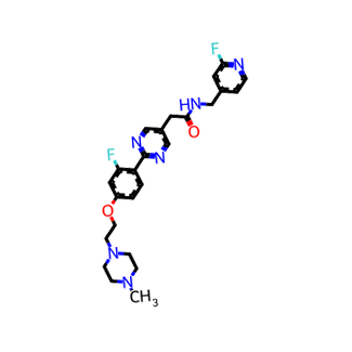 CN1CCN(CCOc2ccc(-c3ncc(CC(=O)NCc4ccnc(F)c4)cn3)c(F)c2)CC1